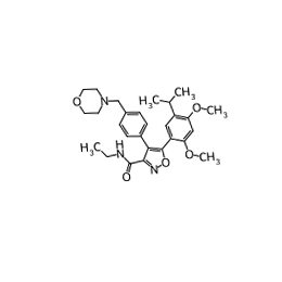 CCNC(=O)c1noc(-c2cc(C(C)C)c(OC)cc2OC)c1-c1ccc(CN2CCOCC2)cc1